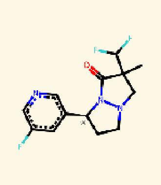 CC1(C(F)F)CN2CC[C@@H](c3cncc(F)c3)N2C1=O